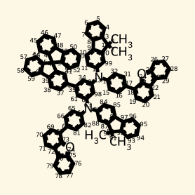 CC1(C)c2ccccc2-c2ccc(N(c3ccc(-c4cccc5c4oc4ccccc45)cc3)c3cc(-c4ccc5c(c4)C4(c6ccccc6-c6ccccc64)c4ccccc4-5)cc(N(c4ccc(-c5cccc6c5oc5ccccc56)cc4)c4ccc5c(c4)C(C)(C)c4ccccc4-5)c3)cc21